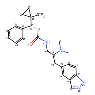 CN(C)[C@H](CNC(=O)C[C@H](c1ccccc1)C1(C(F)(F)F)CC1)Cc1ccc2[nH]ncc2c1